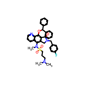 CN(C)CCCS(=O)(=O)N(C)c1c2c(c(OC(c3ccccc3)c3ccccc3)c3ncccc13)C(=O)N(Cc1ccc(F)cc1)C2